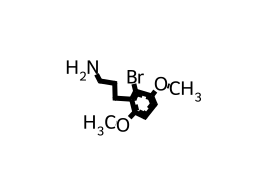 COc1ccc(OC)c(CCCN)c1Br